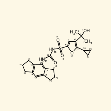 CC(C)(O)c1cc(S(=O)(=O)NC(=O)Nc2c3c(cc4c2CCC4)CCC3)oc1C1CC1